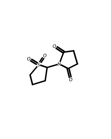 O=C1CCC(=O)N1C1CCCS1(=O)=O